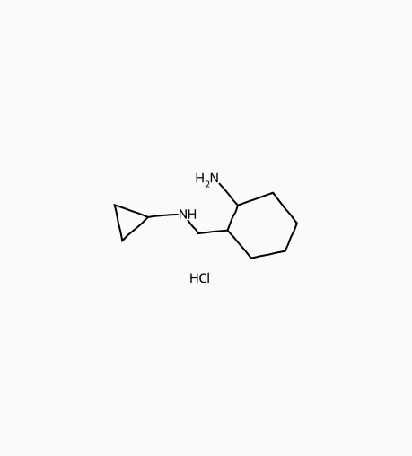 Cl.NC1CCCCC1CNC1CC1